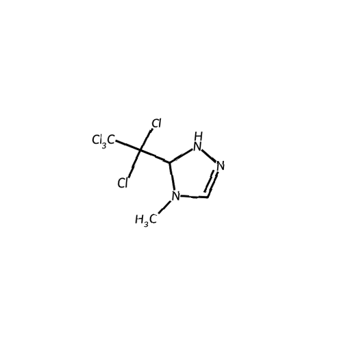 CN1C=NNC1C(Cl)(Cl)C(Cl)(Cl)Cl